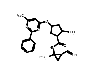 C=CC1CC1(NC(=O)C1CC(Oc2cc(OC)nc(-c3ccccc3)n2)CC1C(=O)O)C(=O)OCC